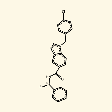 CC[C@@H](NC(=O)c1ccc2c(c1)ncn2Cc1ccc(Cl)cc1)c1ccccc1